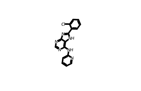 Clc1ccccc1-c1nc2ncnc(Nc3ccccn3)c2[nH]1